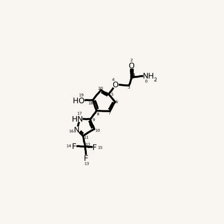 NC(=O)COc1ccc(-c2cc(C(F)(F)F)n[nH]2)c(O)c1